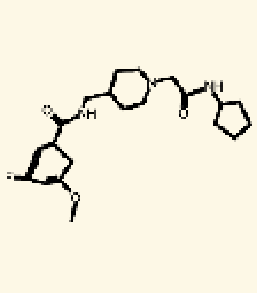 COC1=CC(F)=CC(C(=O)NCC2CCN(CC(=O)NC3CCCC3)CC2)C1